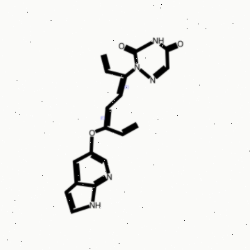 C=C/C(=C\C=C(/C=C)n1ncc(=O)[nH]c1=O)Oc1cnc2[nH]ccc2c1